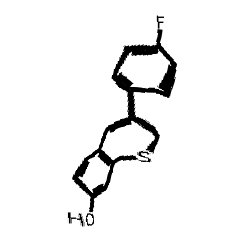 Oc1ccc2c(c1)SCC(c1ccc(F)cc1)=C2